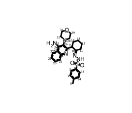 Cc1ccc(S(=O)(=O)NN=C2CCCCC2c2nc3ccccc3c(N)c2N2CCOCC2)cc1